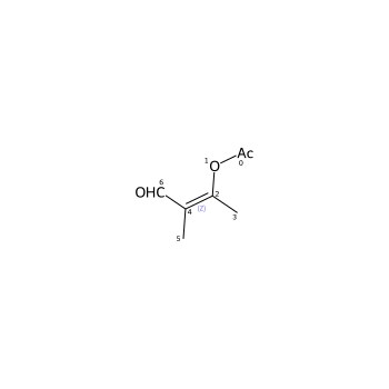 CC(=O)O/C(C)=C(/C)C=O